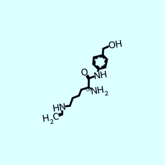 C=CNCCCC[C@H](N)C(=O)Nc1ccc(CO)cc1